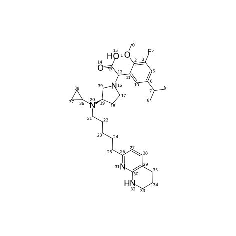 COc1c(F)cc(C(C)C)cc1C(C(=O)O)N1CC[C@@H](N(CCCCCc2ccc3c(n2)NCCC3)C2CC2)C1